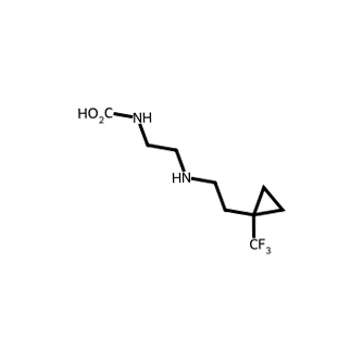 O=C(O)NCCNCCC1(C(F)(F)F)CC1